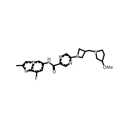 COC1CCN(CC2CN(c3cnc(C(=O)Nc4cc(F)c5nc(C)cn5c4)cn3)C2)C1